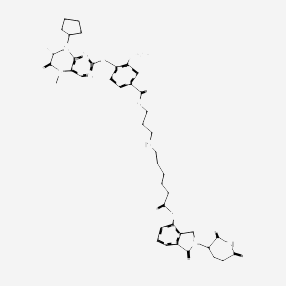 CC[C@@H]1C(=O)N(C)c2cnc(Nc3ccc(C(=O)NCCCNCCCCCC(=O)Nc4cccc5c4CN(C4CCC(=O)NC4=O)C5=O)cc3OC)nc2N1C1CCCC1